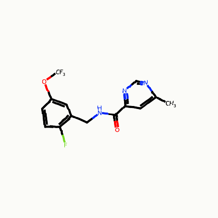 Cc1cc(C(=O)NCc2cc(OC(F)(F)F)ccc2F)ncn1